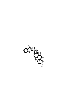 CC1=C2N(C)C(=O)CC[C@]2(C)[C@@H]2CC[C@]3(C)C(C(=O)NC(C)c4ccccc4)CC[C@H]3[C@@H]2C1